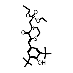 CCOP(=O)(CN1CCSC(=Cc2cc(C(C)(C)C)c(O)c(C(C)(C)C)c2)C1=O)OCC